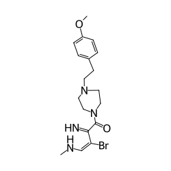 CN/C=C(/Br)C(=N)C(=O)N1CCN(CCc2ccc(OC)cc2)CC1